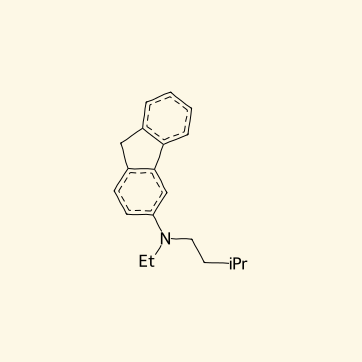 CCN(CCC(C)C)c1ccc2c(c1)-c1ccccc1C2